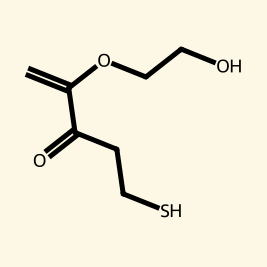 C=C(OCCO)C(=O)CCS